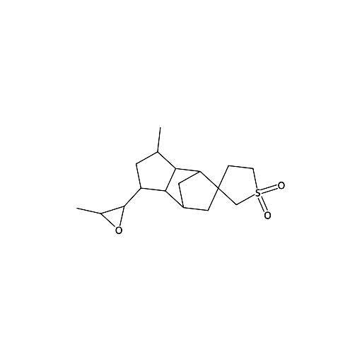 CC1CC(C2OC2C)C2C3CC(C12)C1(CCS(=O)(=O)C1)C3